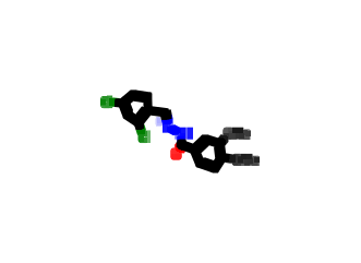 COc1ccc(C(=O)N/N=C/c2ccc(Cl)cc2Cl)cc1OC